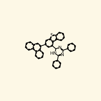 c1ccc(C2=NC(c3cc(-c4cc5ccccc5c5ccccc45)cc4sc5ccccc5c34)NC(c3ccccc3)=N2)cc1